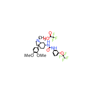 COc1ccc(C23CCC(NC(=O)Nc4cccc(OC(F)(F)C(F)F)c4)CC2N(C)CC3)cc1OC.O=C(O)C(F)(F)F